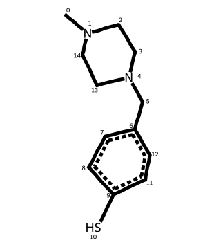 CN1CCN(Cc2ccc(S)cc2)CC1